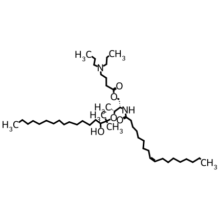 CCCCCCCC/C=C\CCCCCCCC(=O)N[C@@H](COC(=O)CCCN(CCC)CCC)[C@@H](C)OC(C)(C)C(O)CCCCCCCCCCCCCC